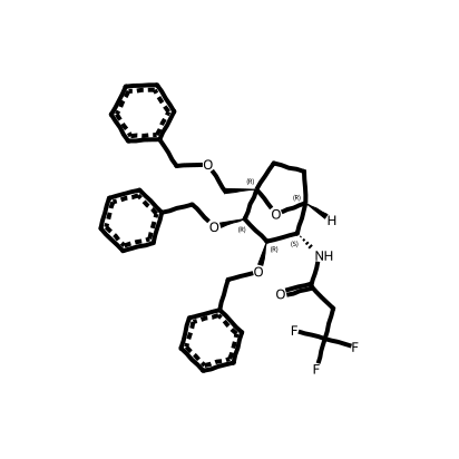 O=C(CC(F)(F)F)N[C@@H]1[C@@H](OCc2ccccc2)[C@@H](OCc2ccccc2)[C@]2(COCc3ccccc3)CC[C@H]1O2